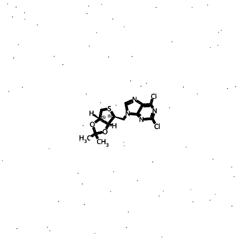 CC1(C)O[C@H]2[C@H](Cn3cnc4c(Cl)nc(Cl)nc43)SC[C@H]2O1